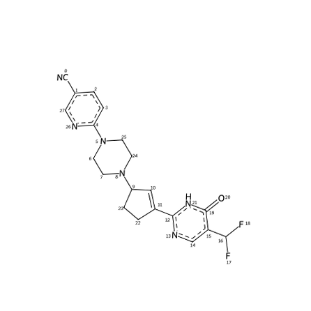 N#Cc1ccc(N2CCN(C3C=C(c4ncc(C(F)F)c(=O)[nH]4)CC3)CC2)nc1